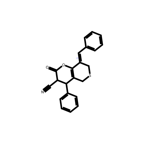 N#CC1C(=O)OC2=C(CSC/C2=C\c2ccccc2)C1c1ccccc1